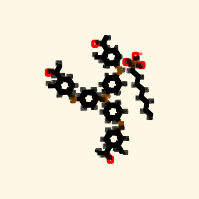 CC(=O)c1ccc(Sc2ccc([S+](c3ccc(Sc4ccc(C(C)=O)c(C)c4)cc3)c3ccc(Sc4ccc(C(C)=O)c(C)c4)cc3)cc2)cc1C.CCCCCCCCS(=O)(=O)[O-]